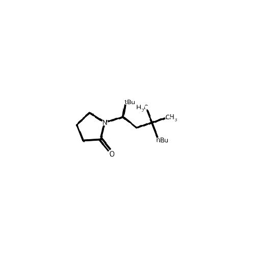 CCCCC(C)(C)CC(N1CCCC1=O)C(C)(C)C